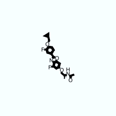 CC(=O)N[C@@H](C)COc1cc(F)c2nc(-c3ccc(OCC4CC4)c(F)c3)oc2c1